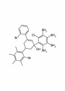 Bc1c(B)c(B)c(C2(O)C=C(c3ccccc3Br)CC(c3c(C)c(C)c(C)c(C)c3Br)C2)c(Cl)c1B